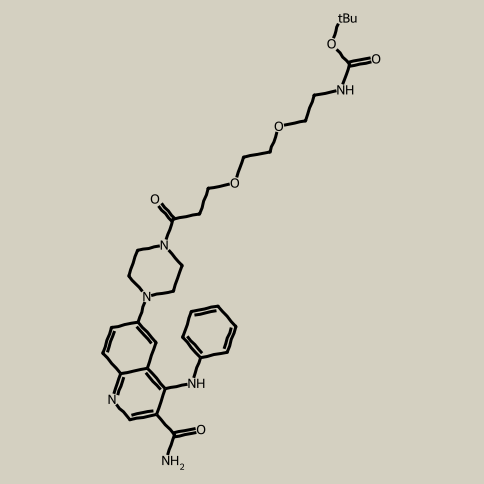 CC(C)(C)OC(=O)NCCOCCOCCC(=O)N1CCN(c2ccc3ncc(C(N)=O)c(Nc4ccccc4)c3c2)CC1